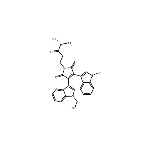 CCn1cc(C2=C(c3cn(CC#N)c4ccccc34)C(=O)N(CCC(=O)[C@H](C)N)C2=O)c2ccccc21